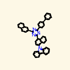 c1ccc(-c2ccc(-c3nc(-c4ccc5ccccc5c4)nc(-c4ccc(-n5c6ccccc6c6ccccc65)c5ccccc45)n3)cc2)cc1